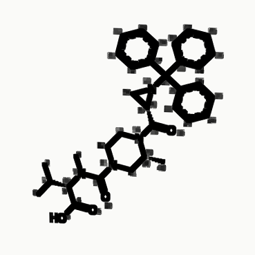 CC(C)[C@@H](C(=O)O)N(C)C(=O)N1CCN(C(=O)[C@@H]2CN2C(c2ccccc2)(c2ccccc2)c2ccccc2)[C@H](C)C1